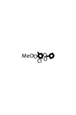 COCOc1c(C)cc(OC(=O)c2ccccc2)cc1Cl